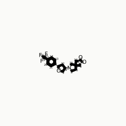 O=S1(=O)CC2(CCN([C@@H]3CO[C@H](c4ccc(C(F)(F)F)cc4)C3)C2)C1